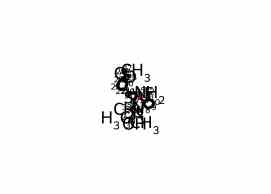 CC(C)(O)c1nn(-c2cccc(F)c2CN)c(-c2ccc(-c3cccc(S(C)(=O)=O)c3)s2)c1Cl